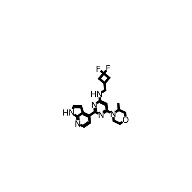 CC1COCCN1c1cc(NCC2CC(F)(F)C2)nc(-c2ccnc3[nH]ccc23)n1